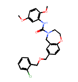 COc1ccc(OC)c(NC(=O)N2CCOc3ccc(COCc4ccccc4Cl)cc3C2)c1